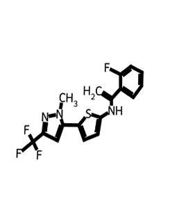 C=C(Nc1ccc(-c2cc(C(F)(F)F)nn2C)s1)c1ccccc1F